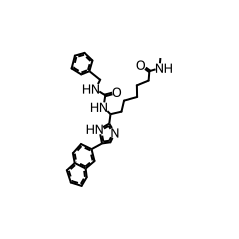 CNC(=O)CCCCCC(NC(=O)NCc1ccccc1)c1ncc(-c2ccc3ccccc3c2)[nH]1